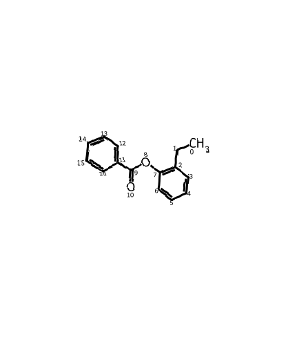 CCc1[c]cccc1OC(=O)c1ccccc1